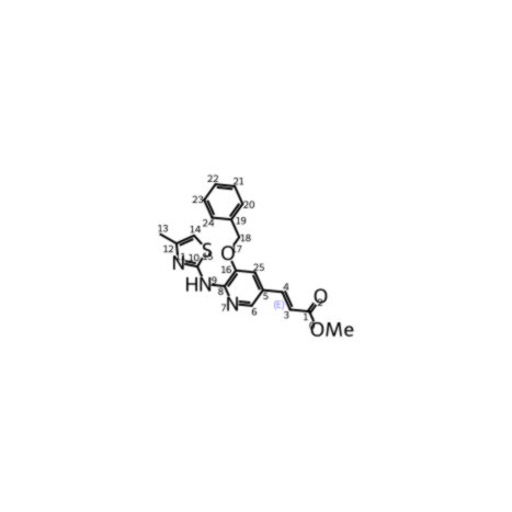 COC(=O)/C=C/c1cnc(Nc2nc(C)cs2)c(OCc2ccccc2)c1